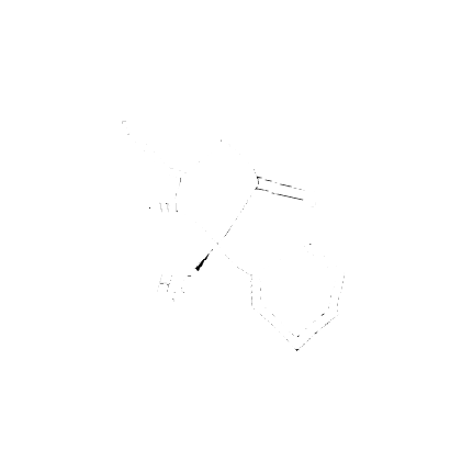 C[C@@]1(c2ccccc2)NC(=S)SC1=O